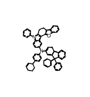 C1=CCCC(C2(c3ccccc3)C3=CC(N(c4ccc(C5C=CCCC5)cc4)c4ccc5c(c4)c4c(n5-c5ccccc5)CCc5c-4oc4ccccc54)=CCC3c3ccccc32)=C1